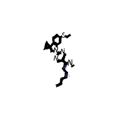 C=N/C(=C\C=C/CCC)c1cnc(N2CC3(CC3)c3ccc(SCC)cc32)nc1